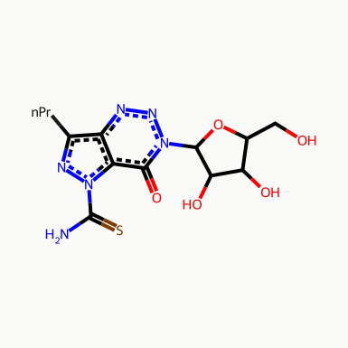 CCCc1nn(C(N)=S)c2c(=O)n(C3OC(CO)C(O)C3O)nnc12